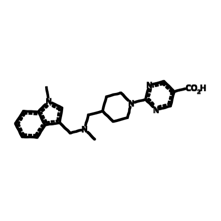 CN(Cc1cn(C)c2ccccc12)CC1CCN(c2ncc(C(=O)O)cn2)CC1